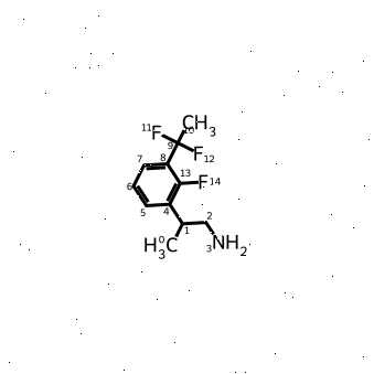 CC(CN)c1cccc(C(C)(F)F)c1F